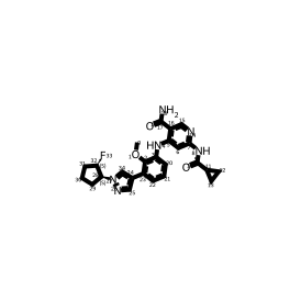 COc1c(Nc2cc(NC(=O)C3CC3)ncc2C(N)=O)cccc1-c1cnn([C@H]2CCC[C@@H]2F)c1